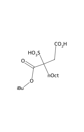 CCCCCCCCC(CC(=O)O)(C(=O)OC(C)CC)S(=O)(=O)O